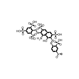 Nc1c(N=Nc2c(S(=O)(=O)O)cc(S(=O)(=O)O)cc2S(=O)(=O)O)c(S(=O)(=O)O)cc2cc(S(=O)(=O)O)c(N=Nc3ccc([N+](=O)[O-])cc3S(=O)(=O)O)c(O)c12